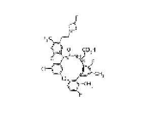 Cc1cc2cc(c1F)[C@H](CC(=O)O)NC(=O)[C@@H](n1cc(CCN3CC(F)C3)c(C(F)(F)F)cc1=O)c1cc(Cl)cc(c1)Oc1ccc(F)c(C)c1-2